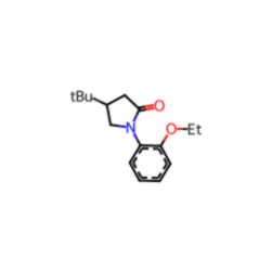 CCOc1ccccc1N1CC(C(C)(C)C)CC1=O